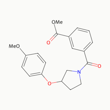 COC(=O)c1cccc(C(=O)N2CCC(Oc3ccc(OC)cc3)C2)c1